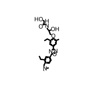 CCc1cc(-c2nc(-c3cc(C)c(OCC(O)CNC(=O)CO)c(CC)c3)no2)ccc1CN(C)C